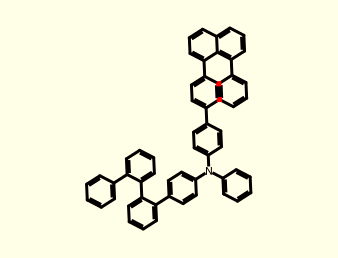 c1ccc(-c2ccccc2-c2ccccc2-c2ccc(N(c3ccccc3)c3ccc(-c4ccc(-c5cccc6cccc(-c7ccccc7)c56)cc4)cc3)cc2)cc1